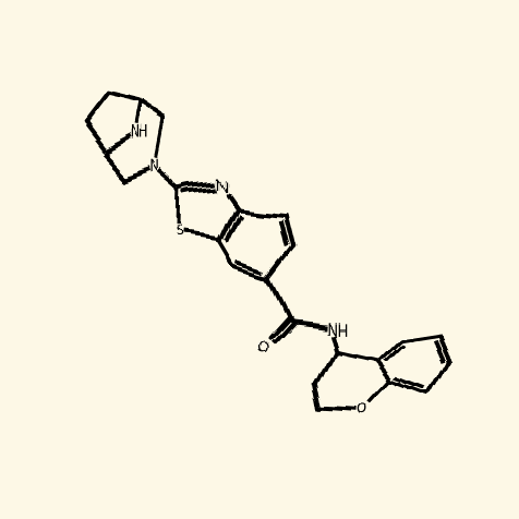 O=C(NC1CCOc2ccccc21)c1ccc2nc(N3CC4CCC(C3)N4)sc2c1